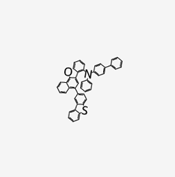 c1ccc(-c2ccc(N(c3ccccc3)c3cccc4oc5c6ccccc6c(-c6ccc7sc8ccccc8c7c6)cc5c34)cc2)cc1